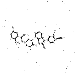 Cc1ncc(Cl)cc1C(=O)N[C@H]1CC[C@H](Cn2c(=O)n(-c3ccc(C#N)c(F)c3)c3ccccc32)CC1